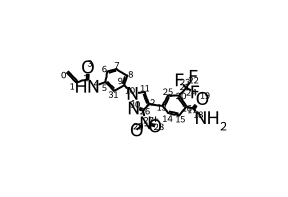 C=CC(=O)Nc1cccc(-n2cc(-c3ccc(C(N)=O)c(C(F)(F)F)c3)c([N+](=O)[O-])n2)c1